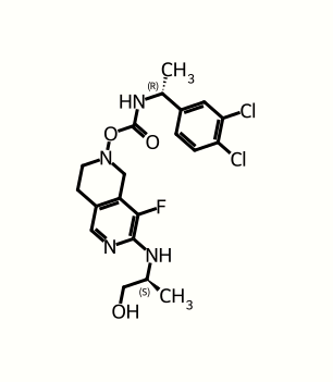 C[C@@H](CO)Nc1ncc2c(c1F)CN(OC(=O)N[C@H](C)c1ccc(Cl)c(Cl)c1)CC2